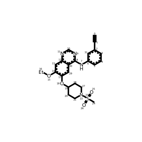 C#Cc1cccc(Nc2ncnc3cc(OCC)c(OC4CCN(S(C)(=O)=O)CC4)cc23)c1